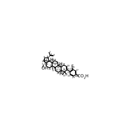 C=C(C)[C@@H]1CC[C@]2(CO)CC[C@]3(C)[C@H](CC[C@@H]4[C@@]5(C)CC=C(c6ccc(C(=O)O)cc6F)C(C)(C)[C@@H]5CC[C@]43C)[C@@H]12